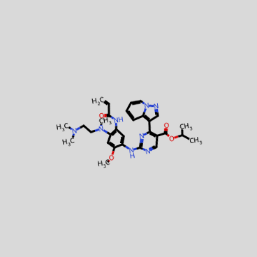 C=CC(=O)Nc1cc(Nc2ncc(C(=O)OC(C)C)c(-c3cnn4ccccc34)n2)c(OC)cc1N(C)CCN(C)C